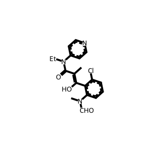 CCN(C(=O)/C(C)=C(\O)c1c(Cl)cccc1N(C)C=O)c1ccncc1